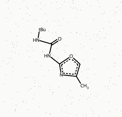 Cc1coc(NC(=O)NC(C)(C)C)n1